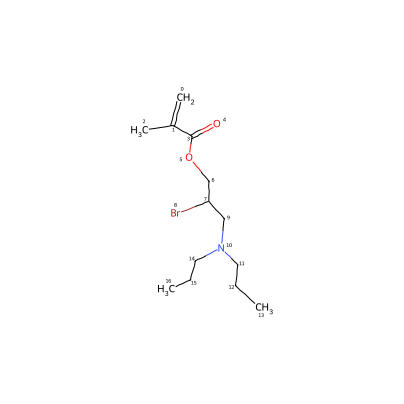 C=C(C)C(=O)OCC(Br)CN(CCC)CCC